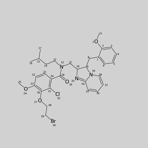 COc1ccccc1CC1C(CN(CCC(C)C)C(=O)c2ccc(OC)c(OCCBr)c2Cl)N=C2C=CC=CN21